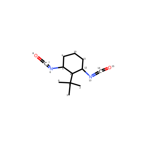 CC(C)(C)C1C(N=C=O)CCCC1N=C=O